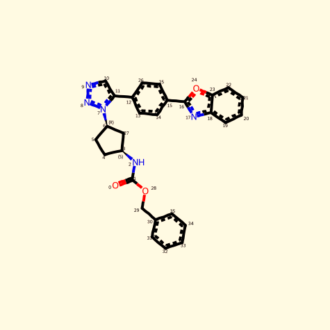 O=C(N[C@H]1CC[C@@H](n2nncc2-c2ccc(-c3nc4ccccc4o3)cc2)C1)OCc1ccccc1